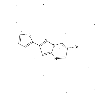 Brc1cnc2cc(-c3cccs3)nn2c1